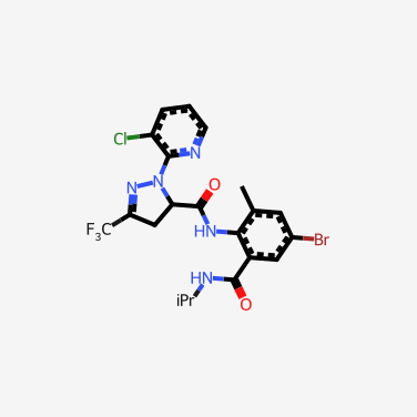 Cc1cc(Br)cc(C(=O)NC(C)C)c1NC(=O)C1CC(C(F)(F)F)=NN1c1ncccc1Cl